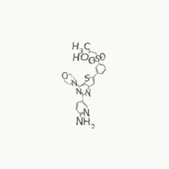 C[C@H](O)CS(=O)(=O)c1cccc(-c2cc3nc(-c4ccc(N)nc4)nc(N4CCOCC4)c3s2)c1